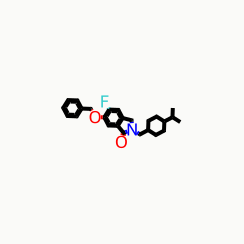 CC(C)C1CCC(CN2Cc3cc(F)c(OCc4ccccc4)cc3C2=O)CC1